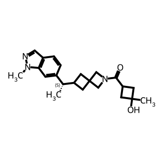 C[C@H](c1ccc2cnn(C)c2c1)C1CC2(C1)CN(C(=O)C1CC(C)(O)C1)C2